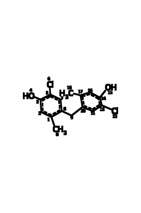 Cc1cc(O)c(Cl)cc1Cc1cc(Cl)c(O)cc1C